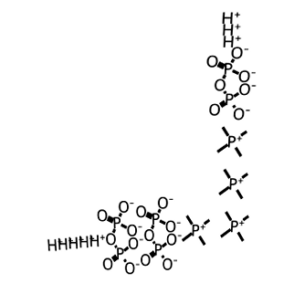 C[P+](C)(C)C.C[P+](C)(C)C.C[P+](C)(C)C.C[P+](C)(C)C.O=P([O-])([O-])OP(=O)([O-])[O-].O=P([O-])([O-])OP(=O)([O-])[O-].O=P([O-])([O-])OP(=O)([O-])[O-].[H+].[H+].[H+].[H+].[H+].[H+].[H+].[H+]